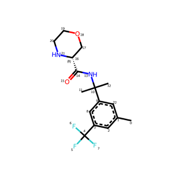 Cc1cc(C(F)(F)F)cc(C(C)(C)NC(=O)[C@H]2COCCN2)c1